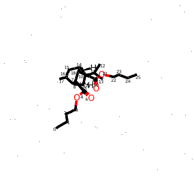 CCCCOC(=O)[C@H]1C2CC(C(C)C)C(CC2C)[C@@H]1C(=O)OCCCC